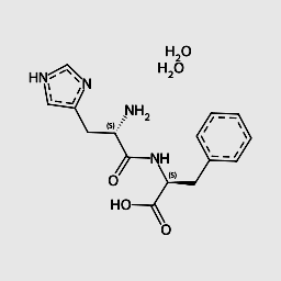 N[C@@H](Cc1c[nH]cn1)C(=O)N[C@@H](Cc1ccccc1)C(=O)O.O.O